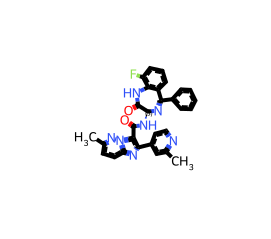 Cc1cc(-c2nc3ccc(C)nn3c2C(=O)N[C@H]2N=C(c3ccccc3)c3cccc(F)c3NC2=O)ccn1